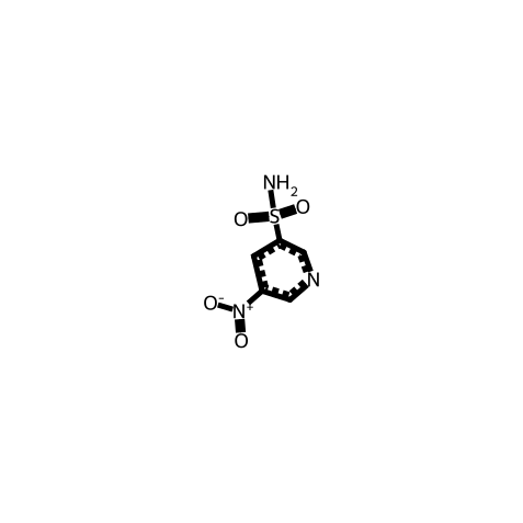 NS(=O)(=O)c1cncc([N+](=O)[O-])c1